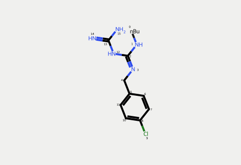 CCCCNC(=NCc1ccc(Cl)cc1)NC(=N)N